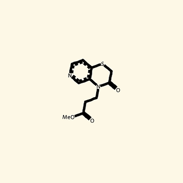 COC(=O)CCN1C(=O)CSc2ccncc21